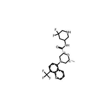 C[C@@H]1CN(c2ccc(C(F)(F)F)c3ncccc23)C[C@H](C(=O)NC2CNCC(F)(F)C2)O1